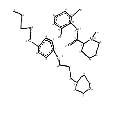 CCCCOc1ccc(OCCCN2CCOCC2)cc1.Cc1cccc(C)c1NC(=O)C1CCCCN1C